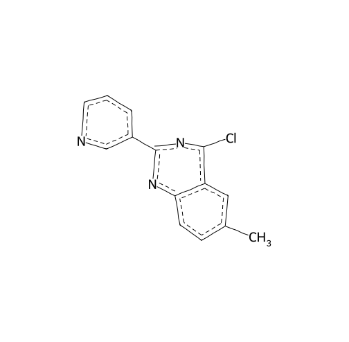 Cc1ccc2nc(-c3cccnc3)nc(Cl)c2c1